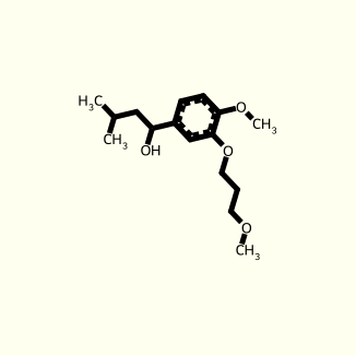 COCCCOc1cc(C(O)CC(C)C)ccc1OC